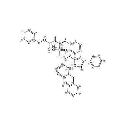 O=C(N[C@@H](Cc1ccccc1)P(=O)(O)C[C@H](Cc1cc(-c2ccccc2)no1)C(=O)NC(Cc1ccccc1)C(=O)O)OCc1ccccc1